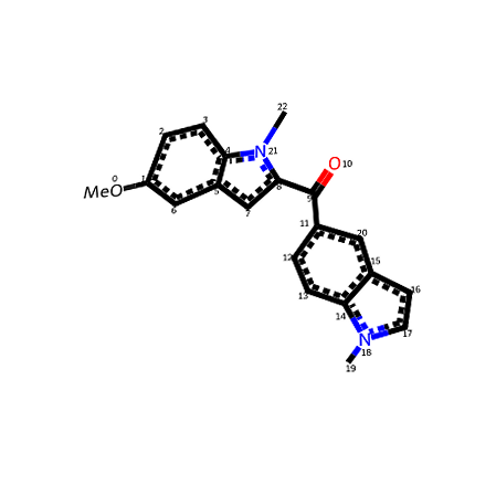 COc1ccc2c(c1)cc(C(=O)c1ccc3c(ccn3C)c1)n2C